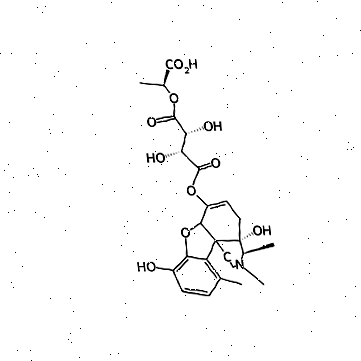 Cc1ccc(O)c2c1C13CCN(C)[C@H](C)[C@]1(O)CC=C(OC(=O)[C@H](O)[C@@H](O)C(=O)O[C@@H](C)C(=O)O)C3O2